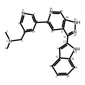 CN(C)Cc1cncc(-c2cc3c(-c4cc5ccccc5[nH]4)n[nH]c3cn2)c1